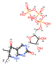 Cc1c(C(F)(F)F)[nH]c2nc(=O)n([C@@H]3O[C@H](COP(=O)(O)OP(=O)(O)OP(=O)(O)O)C(O)[C@@H]3O)cc2c1=O